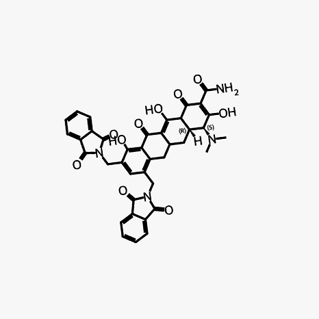 CN(C)[C@@H]1C(O)=C(C(N)=O)C(=O)C2C(O)=C3C(=O)c4c(O)c(CN5C(=O)c6ccccc6C5=O)cc(CN5C(=O)c6ccccc6C5=O)c4CC3C[C@H]21